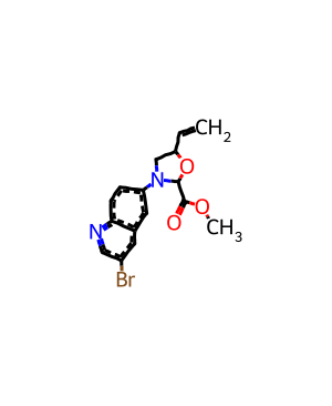 C=CC1CN(c2ccc3ncc(Br)cc3c2)C(C(=O)OC)O1